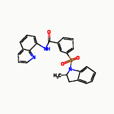 CC1Cc2ccccc2N1S(=O)(=O)c1cccc(C(=O)Nc2cccc3cccnc23)c1